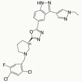 CCn1cc(-c2n[nH]c3ccc(-c4nnc([C@@H]5CCCN(Cc6cc(F)c(Cl)cc6Cl)C5)o4)cc23)cn1